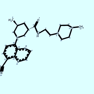 C[C@H]1C[C@H](C(=O)NCCN2CCN(C)CC2)CN(c2ccc(C#N)c3nccnc23)C1